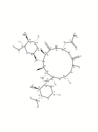 CO[C@]1(C)C[C@H](O[C@H]2[C@H](C)[C@@H](O[C@@H]3O[C@H](C)C[C@H](N(C)C)[C@H]3O)[C@](C)(O)C[C@@H](C)CN(C)C(=O)C[C@@H](CC(N)=O)NC(=O)[C@@H]2C)O[C@@H](C)[C@@H]1O